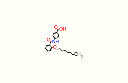 CCCCCCCCOc1ccccc1C(=O)Nc1ccc(C(=O)O)cc1